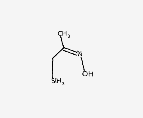 CC(C[SiH3])=NO